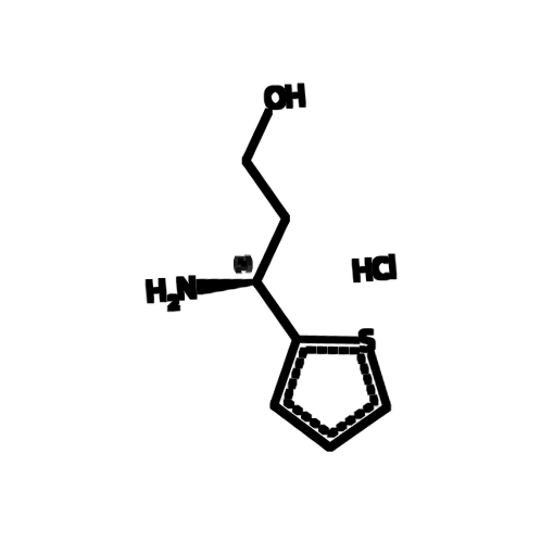 Cl.N[C@@H](CCO)c1cccs1